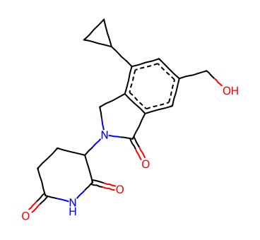 O=C1CCC(N2Cc3c(cc(CO)cc3C3CC3)C2=O)C(=O)N1